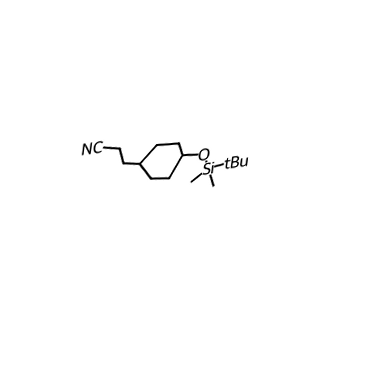 CC(C)(C)[Si](C)(C)OC1CCC(CCC#N)CC1